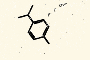 Cc1ccc(C(C)C)cc1.[F-].[F-].[Os+2]